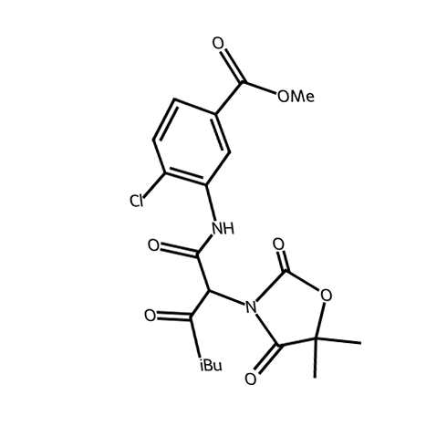 CCC(C)C(=O)C(C(=O)Nc1cc(C(=O)OC)ccc1Cl)N1C(=O)OC(C)(C)C1=O